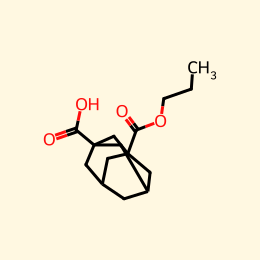 CCCOC(=O)C12CC3CC(CC(C(=O)O)(C3)C1)C2